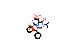 CC(C)N1C[C@H](C(c2ccccc2)c2ccccc2)n2c(S(C)(=O)=O)nc(=O)c(O)c2C1=O